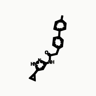 Cc1ccc(-c2ccc(CC(=O)Nc3cc(C4CC4)[nH]n3)cc2)cc1